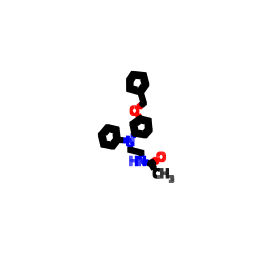 CC(=O)NCCN(c1ccccc1)c1cccc(OCc2ccccc2)c1